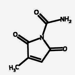 CC1=CC(=O)N(C(N)=O)C1=O